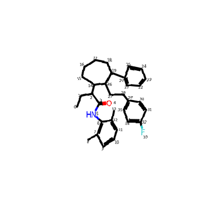 CCC(C(=O)Nc1c(C)cccc1C)C1CCCCC(c2ccccc2)C1CCc1ccc(F)cc1